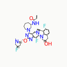 C#Cc1c(F)ccc2c1N(c1ncc3c(N4CCCCC(NC(=O)C=C)C4)nc(OC[C@@H]4C[C@@H](F)CN4C)nc3c1F)C[C@H](O)C2